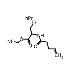 C=CCCC(=O)NC(COCCC)C(=O)OCC#N